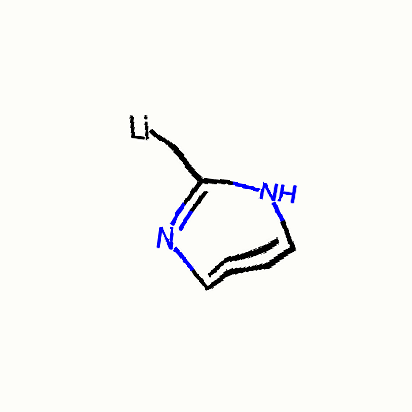 [Li][c]1ncc[nH]1